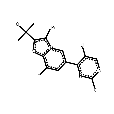 CC(C)c1c(C(C)(C)O)nc2c(F)cc(-c3nc(Cl)ncc3Cl)cn12